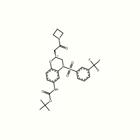 CC(C)(C)OC(=O)Nc1ccc2c(c1)N(S(=O)(=O)c1cccc(C(F)(F)F)c1)C[C@H](CC(=O)N1CCC1)O2